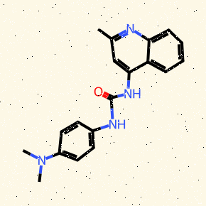 Cc1cc(NC(=O)Nc2ccc(N(C)C)cc2)c2ccccc2n1